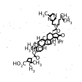 Cc1cncc(CN(CCN(C)C)C(=O)C[C@@]23CC[C@]4(C)[C@H](CC[C@@H]5[C@@]6(C)CC[C@H](OC(=O)[C@H]7C[C@@H](C(=O)O)C7(C)C)C(C)(C)[C@@H]6CC[C@]54C)C2=C(C(C)C)C(=O)C3)n1